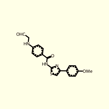 COc1ccc(-c2csc(NC(=O)c3ccc(NCC=O)cc3)n2)cc1